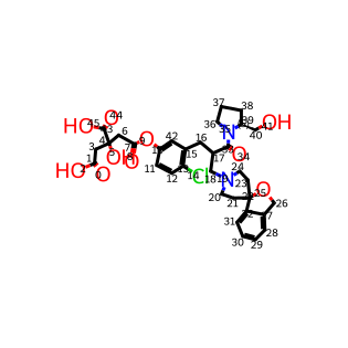 O=C(O)CC(O)(CC(=O)Oc1ccc(Cl)c(CC(CN2CCC3(CC2)OCc2ccccc23)C(=O)N2CCC[C@H]2CO)c1)C(=O)O